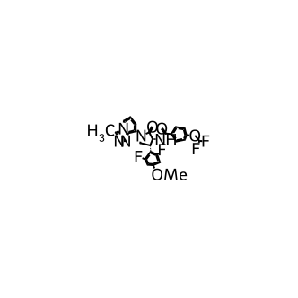 COc1cc(F)c([C@@H]2CN(c3cccn4c(C)nnc34)C(=O)[C@H]2NC(=O)c2ccc(OC(F)F)cc2)c(F)c1